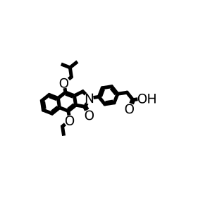 CCOc1c2c(c(OCC(C)C)c3ccccc13)CN(c1ccc(CC(=O)O)cc1)C2=O